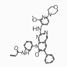 C=CC(=O)Nc1cccc(-n2c(=O)c(-c3ccccc3)cc3cnc(Nc4ccc(N5CCOCC5)nc4OC)nc32)c1